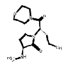 O=C(O)N[C@H]1CCN([C@@H](CCO)C(=O)N2CCOCC2)C1=O